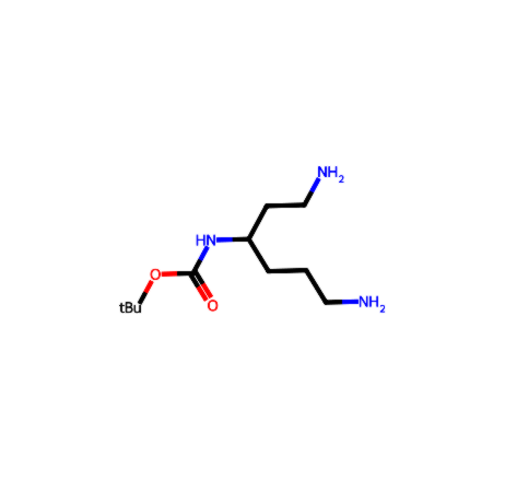 CC(C)(C)OC(=O)NC(CCN)CCCN